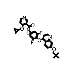 CC(C)(C)COc1ccc2c(Oc3c(F)cc(NC(=O)c4cnccc4OC4CC4)cc3F)ccnc2c1